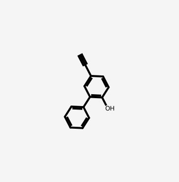 C#Cc1ccc(O)c(-c2ccccc2)c1